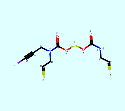 O=C(NCC=S)OSOC(=O)N(CC#CI)CC=S